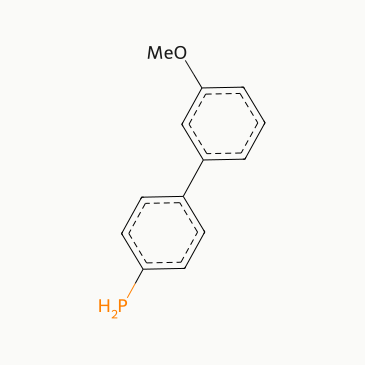 COc1cccc(-c2ccc(P)cc2)c1